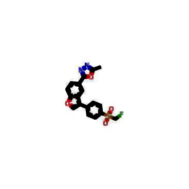 Cc1nnc(-c2ccc3occ(-c4ccc(S(=O)(=O)CF)cc4)c3c2)o1